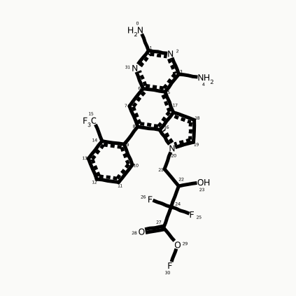 Nc1nc(N)c2c(cc(-c3ccccc3C(F)(F)F)c3c2ccn3CC(O)C(F)(F)C(=O)OF)n1